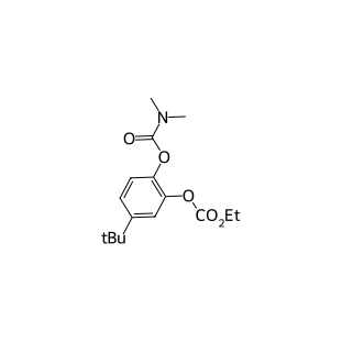 CCOC(=O)Oc1cc(C(C)(C)C)ccc1OC(=O)N(C)C